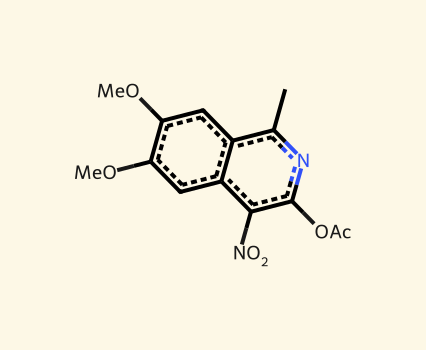 COc1cc2c(C)nc(OC(C)=O)c([N+](=O)[O-])c2cc1OC